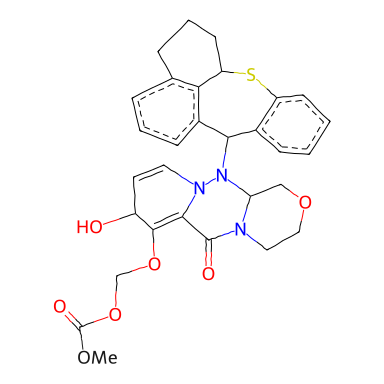 COC(=O)OCOC1=C2C(=O)N3CCOCC3N(C3c4ccccc4SC4CCCc5cccc3c54)N2C=CC1O